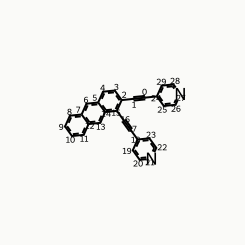 C(#Cc1ccc2cc3ccccc3cc2c1C#Cc1ccncc1)c1ccncc1